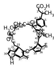 CC(CC(=O)O)c1cccc(C2(C)CCCC(C)(C)CS(=O)(=O)CCc3c(c(F)cc4[nH]ccc34)Oc3ccc(F)c(c3)-c3nc2nn3C)c1